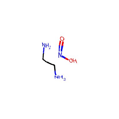 NCCN.O=NO